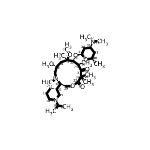 CO[C@]1(C)C[C@@H](C)CN(C)[C@H]([C@H]2CCCN(C(C)C)C2)COC(=O)C(C)(C)C(=O)[C@H](C)[C@H]1O[C@H]1C[C@@H](N(C)C)C[C@@H](C)O1